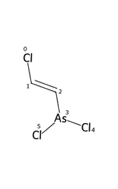 ClC=C[As](Cl)Cl